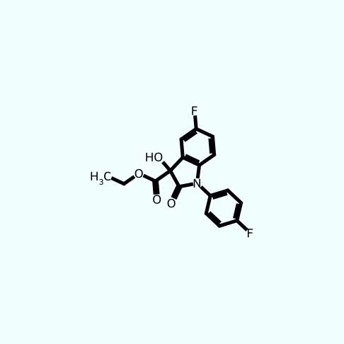 CCOC(=O)C1(O)C(=O)N(c2ccc(F)cc2)c2ccc(F)cc21